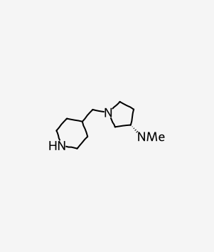 CN[C@H]1CCN(CC2CCNCC2)C1